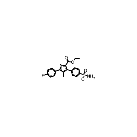 CCOC(=O)c1sc(-c2ccc(F)cc2)c(C)c1-c1ccc(S(N)(=O)=O)cc1